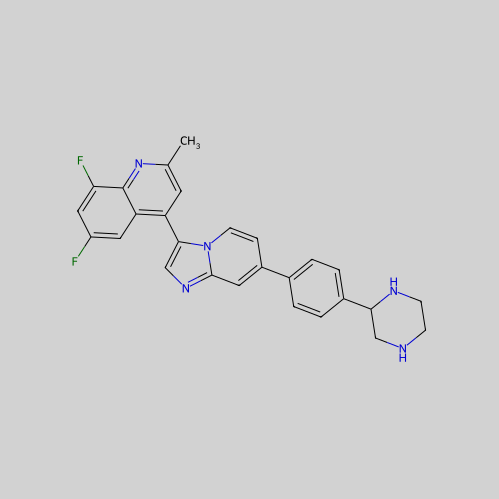 Cc1cc(-c2cnc3cc(-c4ccc(C5CNCCN5)cc4)ccn23)c2cc(F)cc(F)c2n1